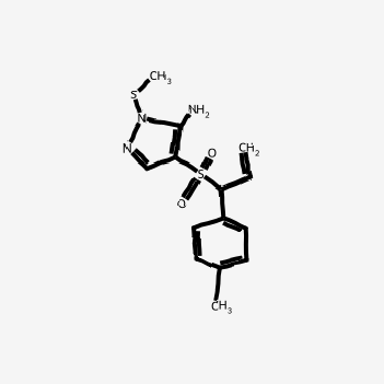 C=CC(c1ccc(C)cc1)S(=O)(=O)c1cnn(SC)c1N